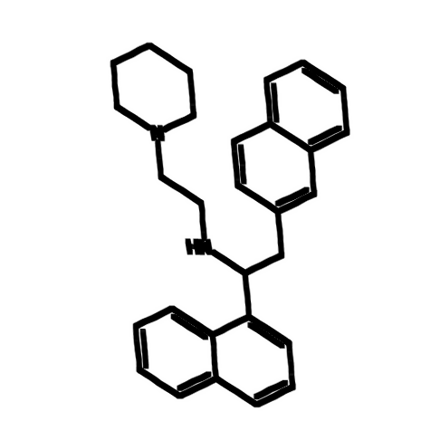 c1ccc2cc(CC(NCCN3CCCCC3)c3cccc4ccccc34)ccc2c1